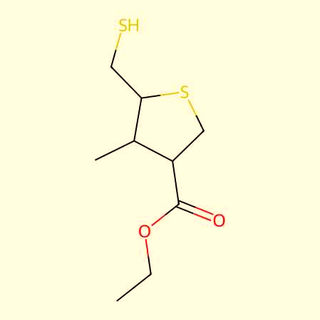 CCOC(=O)C1CSC(CS)C1C